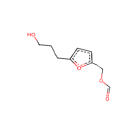 O=COCc1ccc(CCCO)o1